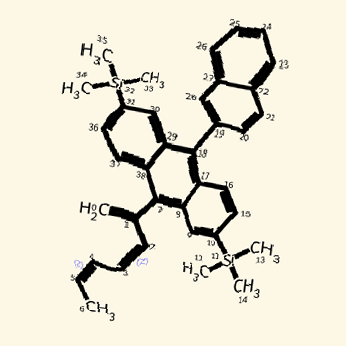 C=C(/C=C\C=C/C)c1c2cc([Si](C)(C)C)ccc2c(-c2ccc3ccccc3c2)c2cc([Si](C)(C)C)ccc12